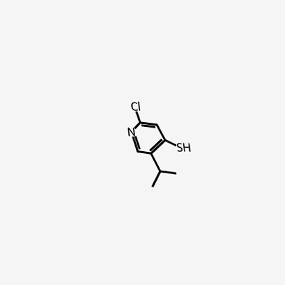 CC(C)c1cnc(Cl)cc1S